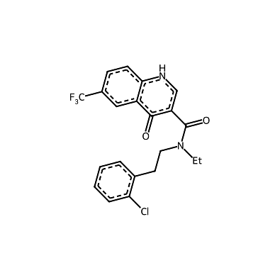 CCN(CCc1ccccc1Cl)C(=O)c1c[nH]c2ccc(C(F)(F)F)cc2c1=O